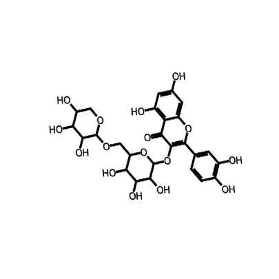 O=c1c(OC2OC(COC3OCC(O)C(O)C3O)C(O)C(O)C2O)c(-c2ccc(O)c(O)c2)oc2cc(O)cc(O)c12